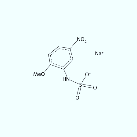 COc1ccc([N+](=O)[O-])cc1NS(=O)(=O)[O-].[Na+]